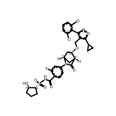 O=C(NS(=O)(=O)[C@@H]1CCC[C@H]1O)c1ccc(N2C(=O)[C@@H]3C[C@H]2C[C@H]3OCc2c(-c3c(Cl)cccc3Cl)noc2C2CC2)cc1F